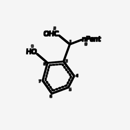 CCCCCC(C=O)c1ccccc1O